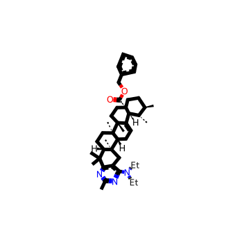 CCN(CC)c1nc(C)nc2c1C[C@]1(C)[C@H]3CC=C4[C@@H]5[C@@H](C)[C@H](C)CC[C@]5(C(=O)OCc5ccccc5)CC[C@@]4(C)[C@]3(C)CC[C@H]1C2(C)C